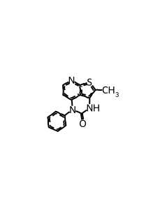 Cc1sc2nccc3c2c1NC(=O)N3c1ccccc1